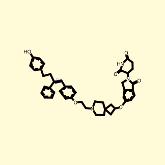 O=C1CCC(N2Cc3cc(OC4CC5(CCN(CCOc6ccc(/C=C(/CCc7ccc(O)cc7)c7ccccc7)cc6)CC5)C4)ccc3C2=O)C(=O)N1